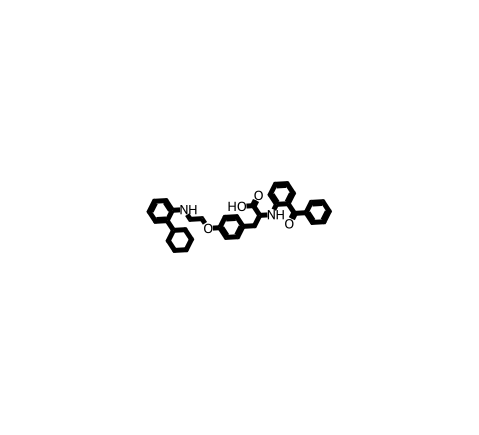 O=C(c1ccccc1)c1ccccc1NC(Cc1ccc(OCCNc2ccccc2C2CCCCC2)cc1)C(=O)O